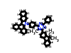 CN1C(c2ccc(-n3c4cc5ccccc5cc4c4c5ccccc5c5ccccc5c43)cc2)=NC(c2ccccc2)=NC1c1ccc2c(c1)C(C)(C)c1ccccc1-2